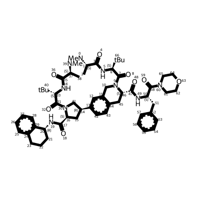 CN[C@@H](C)C(=O)N[C@H](C(=O)N1Cc2cc([C@H]3C[C@@H](C(=O)N[C@@H]4CCCc5ccccc54)N(C(=O)[C@@H](NC(=O)[C@H](C)NC)C(C)(C)C)C3)ccc2C[C@H]1C(=O)N[C@@H](Cc1ccccc1)C(=O)N1CCOCC1)C(C)(C)C